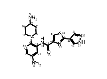 Nc1cnc(N2CCC(N)CC2)c(NC(=O)c2csc(-c3cn[nH]c3)n2)c1